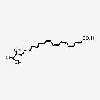 CCC(O)C(O)CCCCCCC\C=C/C=C\C=C/C=C\C=CC(=O)O